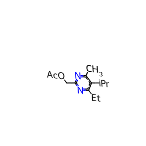 CCc1nc(COC(C)=O)nc(C)c1C(C)C